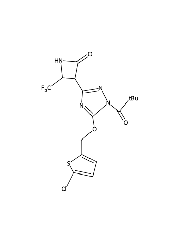 CC(C)(C)C(=O)n1nc(C2C(=O)NC2C(F)(F)F)nc1OCc1ccc(Cl)s1